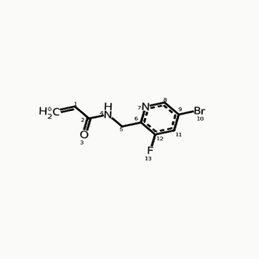 C=CC(=O)NCc1ncc(Br)cc1F